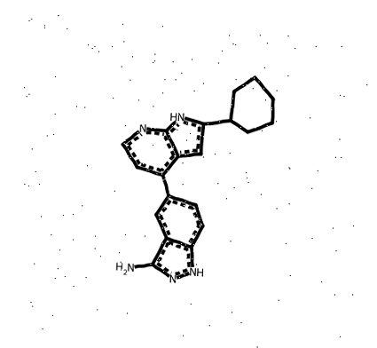 Nc1n[nH]c2ccc(-c3ccnc4[nH]c(C5CCCCC5)cc34)cc12